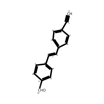 C#Cc1ccc(/C=C/c2ccc(C=O)cc2)cc1